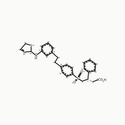 O=C(O)C[C@H](CS(=O)(=O)c1ccc(CCc2cccc(NC3N=CCS3)c2)cc1)c1ccccc1